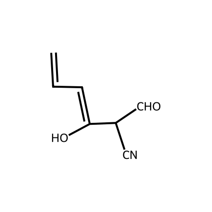 C=CC=C(O)C(C#N)C=O